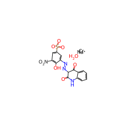 O.O=C1Nc2ccccc2C(=O)C1N=Nc1cc(S(=O)(=O)[O-])cc([N+](=O)[O-])c1O.[Cr].[Na+]